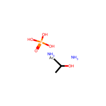 CC(=O)C(C)O.N.N.O=P(O)(O)O